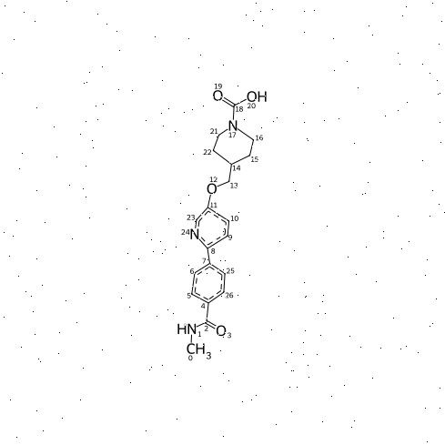 CNC(=O)c1ccc(-c2ccc(OCC3CCN(C(=O)O)CC3)cn2)cc1